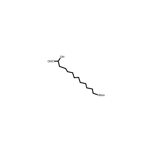 CCCCCCCCCCCCCCCCCCCCC(O)[C]=O